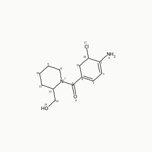 NC1=CC=C(C(=O)N2CCCCC2CO)CC1Cl